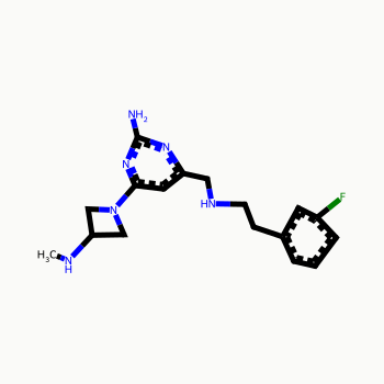 CNC1CN(c2cc(CNCCc3cccc(F)c3)nc(N)n2)C1